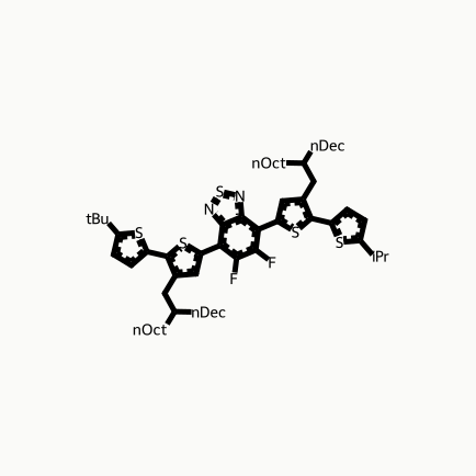 CCCCCCCCCCC(CCCCCCCC)Cc1cc(-c2c(F)c(F)c(-c3cc(CC(CCCCCCCC)CCCCCCCCCC)c(-c4ccc(C(C)(C)C)s4)s3)c3nsnc23)sc1-c1ccc(C(C)C)s1